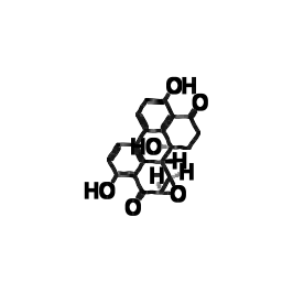 O=C1CC[C@]2(O)c3c(ccc(O)c31)-c1ccc(O)c3c1[C@H]2[C@H]1O[C@H]1C3=O